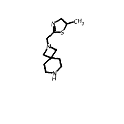 CC1CN=C(CN2CC3(CCNCC3)C2)S1